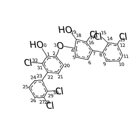 Oc1c(Oc2ccc(-c3cccc(Cl)c3Cl)c(Cl)c2O)ccc(-c2cccc(Cl)c2Cl)c1Cl